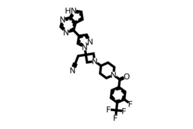 N#CCC1(n2cc(-c3ncnc4[nH]ccc34)cn2)CN(C2CCN(C(=O)c3ccc(C(F)(F)F)c(F)c3)CC2)C1